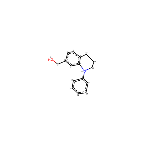 OCc1ccc2c(c1)N(c1ccccc1)CCC2